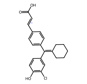 O=C(O)/C=C/c1ccc(C(=C2CCCCC2)c2ccc(O)c(Cl)c2)cc1